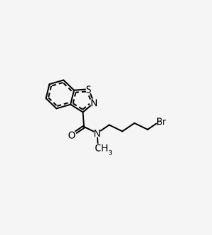 CN(CCCCBr)C(=O)c1nsc2ccccc12